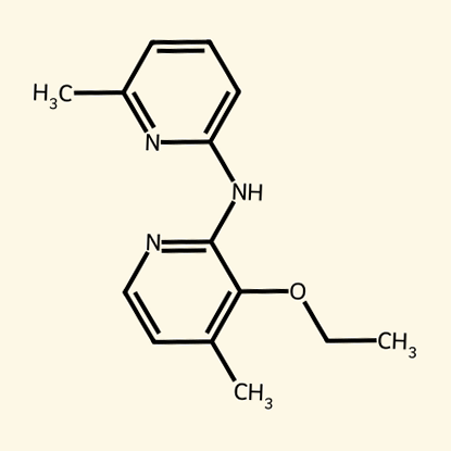 CCOc1c(C)ccnc1Nc1cccc(C)n1